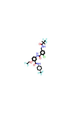 CC(C)(C(=O)NCc1ccc(Cl)c(C(=O)Nc2ccc(OCC(F)F)c(C(=O)N[C@H]3CC[C@H](C(F)(F)F)CC3)c2)c1)C(F)(F)F